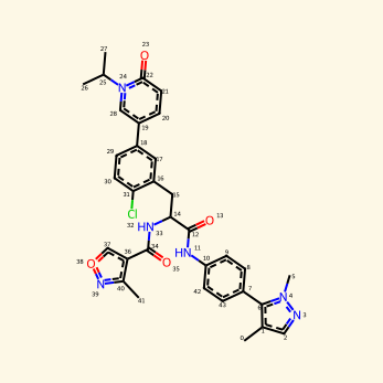 Cc1cnn(C)c1-c1ccc(NC(=O)C(Cc2cc(-c3ccc(=O)n(C(C)C)c3)ccc2Cl)NC(=O)c2conc2C)cc1